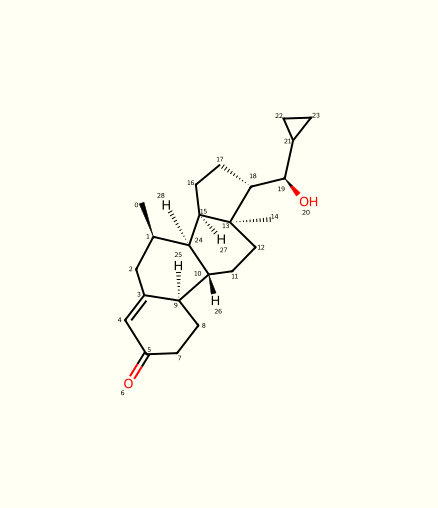 C[C@@H]1CC2=CC(=O)CC[C@@H]2[C@H]2CC[C@@]3(C)[C@H](CC[C@@H]3[C@H](O)C3CC3)[C@@H]21